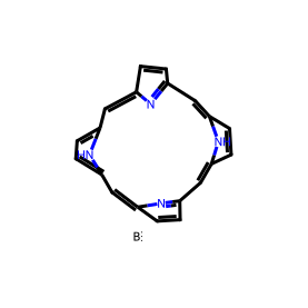 C1=Cc2cc3ccc(cc4nc(cc5ccc(cc1n2)[nH]5)C=C4)[nH]3.[B]